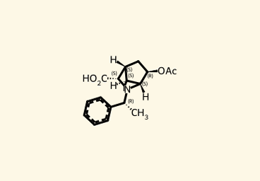 CC(=O)O[C@@H]1C[C@@H]2[C@H](I)[C@H]1N([C@H](C)c1ccccc1)[C@@H]2C(=O)O